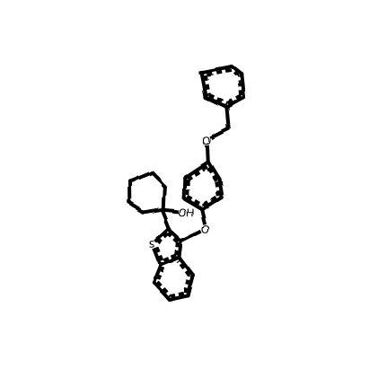 OC1(c2sc3ccccc3c2Oc2ccc(OCc3ccccc3)cc2)CCCCC1